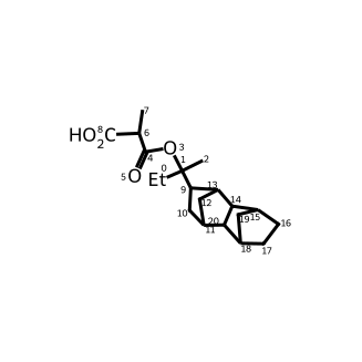 CCC(C)(OC(=O)C(C)C(=O)O)C1CC2CC1C1C3CCC(C3)C21